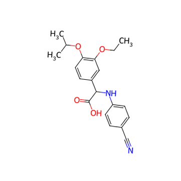 CCOc1cc(C(Nc2ccc(C#N)cc2)C(=O)O)ccc1OC(C)C